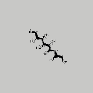 O=C(CO)OC(O)[C@@H](O)[C@@H](O)[C@H](O)[C@H](O)CO